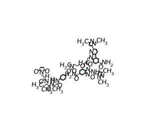 CCn1nc(C)cc1C(=O)Nc1nc2cc(C(N)=O)cc(OCCCN(C)C(=O)OCc3ccc(NC(=O)[C@H](C)NC(=O)[C@@H](NC(=O)CCN4C(=O)C=CC4=O)C(C)C)cc3)c2n1C[C@@H]1C[C@H]1Cn1c2nc(-c3cc(C)nn3CC)ccc2c2cc(C(N)=O)cc(OC)c21